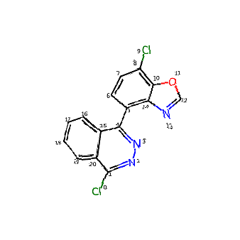 Clc1nnc(-c2ccc(Cl)c3ocnc23)c2ccccc12